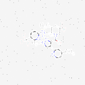 Cc1ccnc(-c2cn(C)nc2C(=O)N2CC(F)(F)CC(C)[C@H]2CNc2ccc(C(F)(F)F)cn2)c1